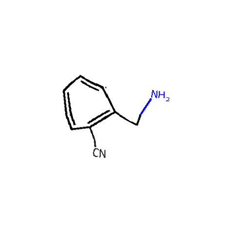 N#Cc1ccc[c]c1CN